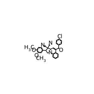 COc1ccc(C2CN3c4ccccc4C(C(=O)c4ccc(Cl)cc4)=CC3C2(C#N)C#N)cc1OC